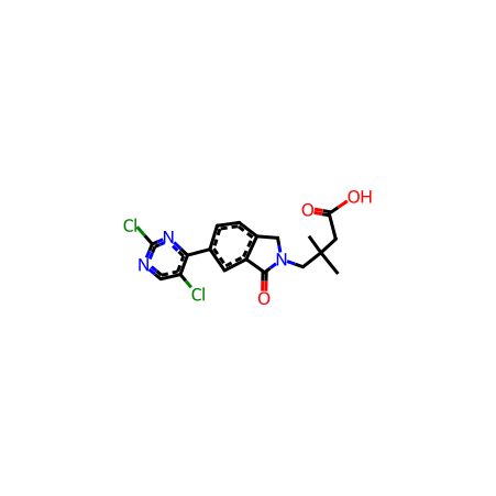 CC(C)(CC(=O)O)CN1Cc2ccc(-c3nc(Cl)ncc3Cl)cc2C1=O